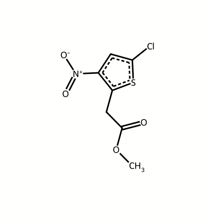 COC(=O)Cc1sc(Cl)cc1[N+](=O)[O-]